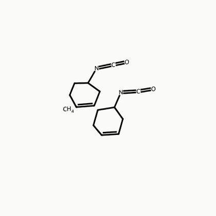 C.O=C=NC1CC=CCC1.O=C=NC1CC=CCC1